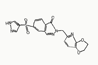 O=c1c2ccc(S(=O)(=O)c3cn[nH]c3)cc2cnn1Cc1ccc2c(n1)OCCO2